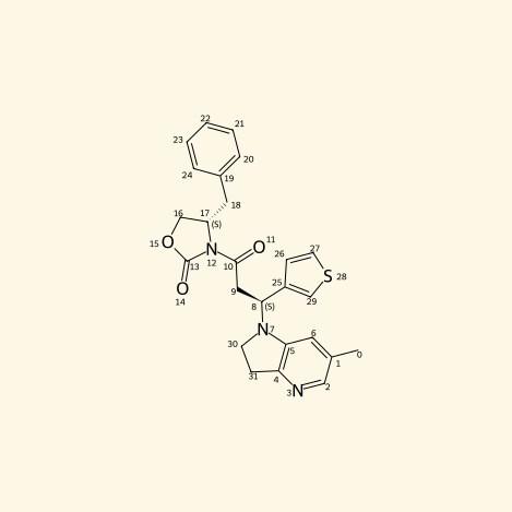 Cc1cnc2c(c1)N([C@@H](CC(=O)N1C(=O)OC[C@@H]1Cc1ccccc1)c1ccsc1)CC2